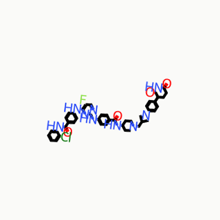 O=C1CCC(c2ccc(N3CC(CN4CCC(NC(=O)c5ccc(Nc6ncc(F)c(Nc7ccc(C(=O)Nc8ccccc8Cl)cc7)n6)cc5)CC4)C3)cc2)C(=O)N1